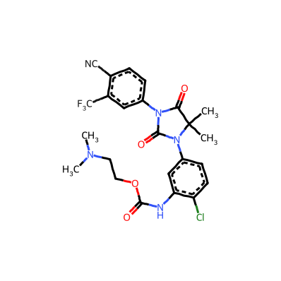 CN(C)CCOC(=O)Nc1cc(N2C(=O)N(c3ccc(C#N)c(C(F)(F)F)c3)C(=O)C2(C)C)ccc1Cl